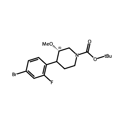 CO[C@@H]1CN(C(=O)OC(C)(C)C)CCC1c1ccc(Br)cc1F